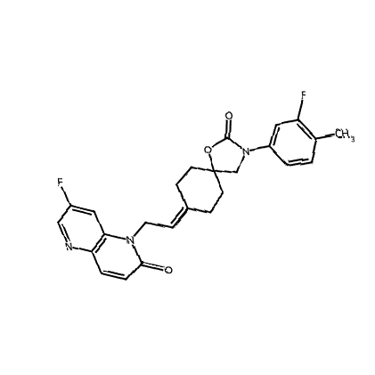 Cc1ccc(N2CC3(CCC(=CCn4c(=O)ccc5ncc(F)cc54)CC3)OC2=O)cc1F